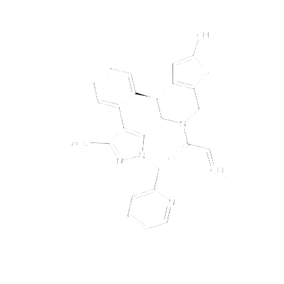 C=CC(=O)N1Cc2sc(C)cc2[C@H](c2ccccc2-c2cn(Cc3ccccn3)nc2C)C1